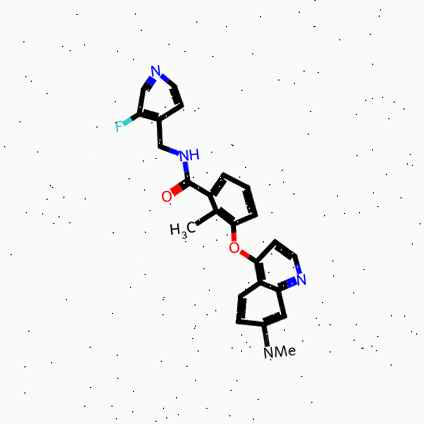 CNc1ccc2c(Oc3cccc(C(=O)NCc4ccncc4F)c3C)ccnc2c1